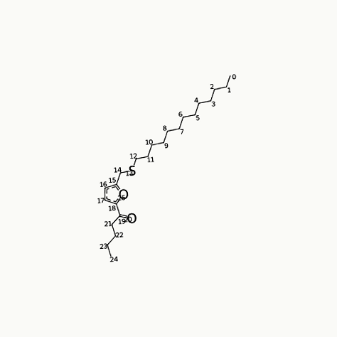 CCCCCCCCCCCCCSCc1ccc(C(=O)CCCC)o1